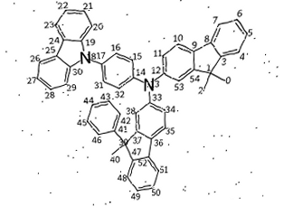 CC1(C)c2ccccc2-c2ccc(N(c3ccc(-n4c5ccccc5c5ccccc54)cc3)c3ccc4c(c3)C(C)(c3ccccc3)c3ccccc3-4)cc21